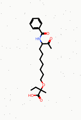 CCC(C)(OCCCCCCCC(NC(=O)c1ccccc1)C(C)=O)C(=O)O